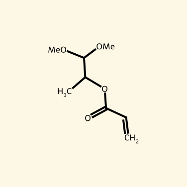 C=CC(=O)OC(C)C(OC)OC